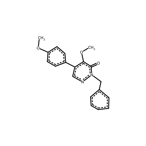 COc1ccc(-c2cnn(Cc3ccccc3)c(=O)c2OC)cc1